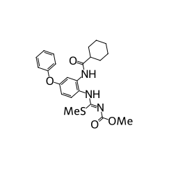 COC(=O)/N=C(/Nc1ccc(Oc2ccccc2)cc1NC(=O)C1CCCCC1)SC